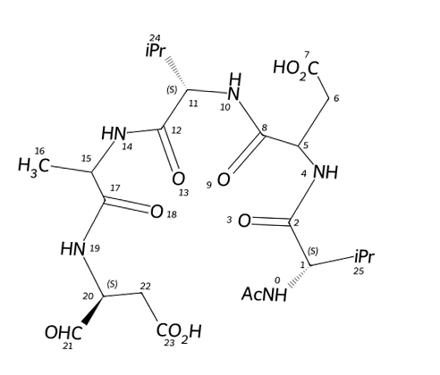 CC(=O)N[C@H](C(=O)NC(CC(=O)O)C(=O)N[C@H](C(=O)NC(C)C(=O)N[C@H](C=O)CC(=O)O)C(C)C)C(C)C